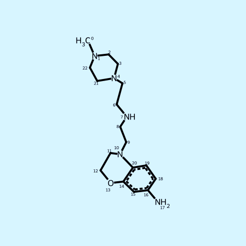 CN1CCN(CCNCCN2CCOc3cc(N)ccc32)CC1